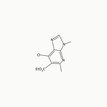 CCOC(=O)c1c(C)nc2c(ncn2C)c1Cl